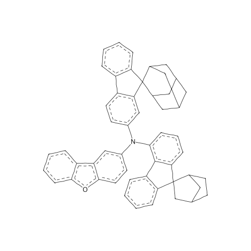 c1ccc2c(c1)-c1c(N(c3ccc4c(c3)C3(c5ccccc5-4)C4CC5CC(C4)CC3C5)c3ccc4oc5ccccc5c4c3)cccc1C21CC2CCC1C2